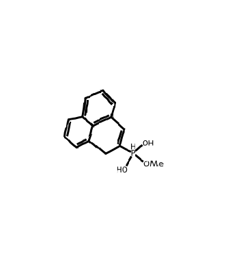 CO[PH](O)(O)C1=Cc2cccc3cccc(c23)C1